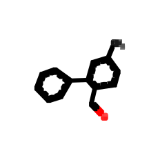 Cc1ccc(C=O)c(-c2ccccc2)c1